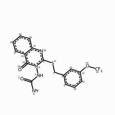 CCCC(=O)Nn1c(SCc2cccc(OC(F)(F)F)c2)nc2ccccc2c1=O